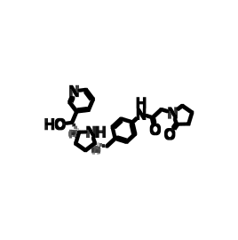 O=C(CN1CCCC1=O)Nc1ccc(C[C@@H]2CC[C@H](C(O)c3cccnc3)N2)cc1